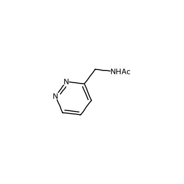 CC(=O)NCc1cccnn1